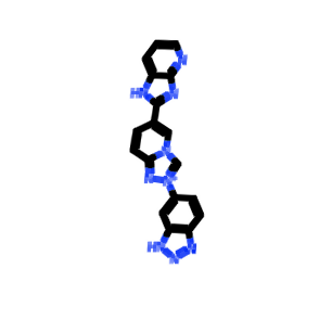 c1cnc2nc(-c3ccc4n[n+](-c5ccc6nn[nH]c6c5)cn4c3)[nH]c2c1